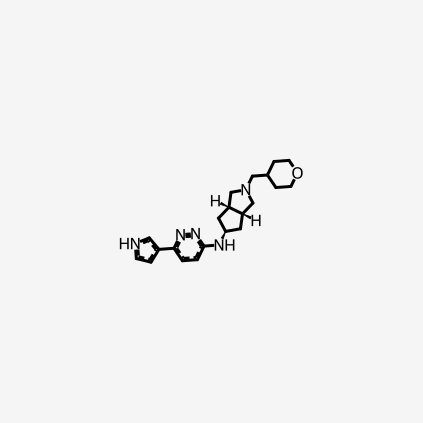 c1cc(-c2ccc(N[C@H]3C[C@@H]4CN(CC5CCOCC5)C[C@@H]4C3)nn2)c[nH]1